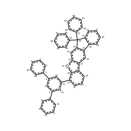 c1ccc(-c2cc(-c3ccccc3)nc(-c3cccc4c3oc3cc5c(cc34)-c3ccccc3C5(c3ccccc3)c3ccccc3)c2)cc1